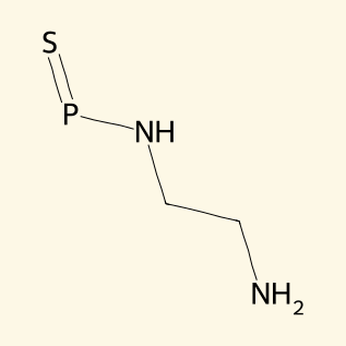 NCCNP=S